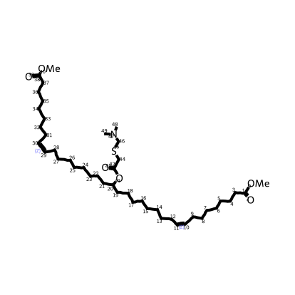 COC(=O)CCCCCCC/C=C\CCCCCCCCC(CCCCCCCC/C=C\CCCCCCCC(=O)OC)OC(=O)CSCN(C)C